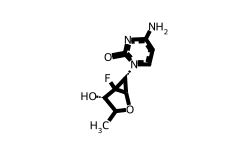 CC1OC2[C@@H](n3ccc(N)nc3=O)C2(F)[C@H]1O